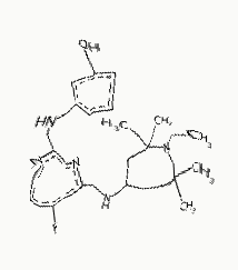 CN1C(C)(C)CC(Nc2nc(Nc3cccc(O)c3)ncc2F)CC1(C)C